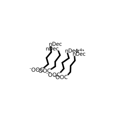 CCCCCCCCCCCCCC(=O)[O-].CCCCCCCCCCCCCC(=O)[O-].CCCCCCCCCCCCCC(=O)[O-].CCCCCCCCCCCCCC(=O)[O-].[Ir+4]